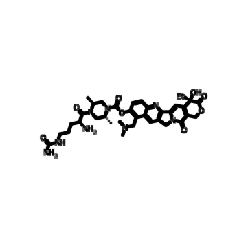 CC[C@@]1(O)C(=O)OCc2c1cc1n(c2=O)Cc2cc3c(CN(C)C)c(OC(=O)N4C[C@H](C)N(C(=O)[C@@H](N)CCCNC(N)=O)C[C@H]4C)ccc3nc2-1